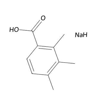 Cc1ccc(C(=O)O)c(C)c1C.[NaH]